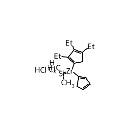 CCC1=C(CC)C(CC)=[C]([Zr]([C]2=CC=CC2)=[Si](C)C)C1.Cl.Cl